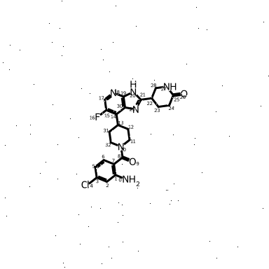 Nc1cc(Cl)ccc1C(=O)N1CCC(c2c(F)cnc3[nH]c(C4CCC(=O)NC4)nc23)CC1